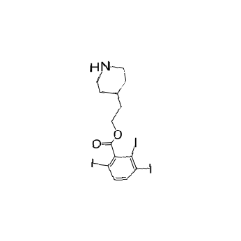 O=C(OCCC1CCNCC1)c1c(I)ccc(I)c1I